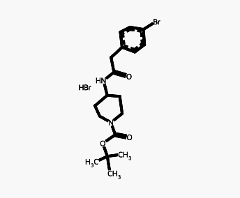 Br.CC(C)(C)OC(=O)N1CCC(NC(=O)Cc2ccc(Br)cc2)CC1